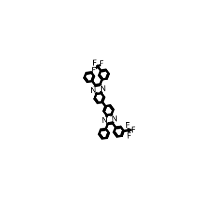 FC(F)(F)c1cccc(-c2nc3ccc(-c4ccc5nc(-c6ccccc6)c(-c6cccc(C(F)(F)F)c6)nc5c4)cc3nc2-c2ccccc2)c1